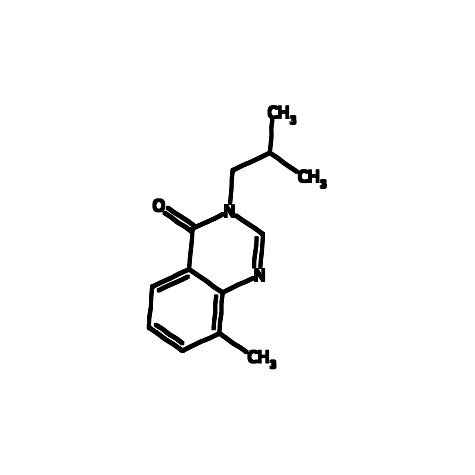 Cc1cccc2c(=O)n(CC(C)C)cnc12